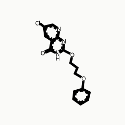 O=c1[nH]c(OCCCOc2ccccc2)nc2ncc(Cl)cc12